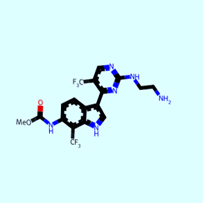 COC(=O)Nc1ccc2c(-c3nc(NCCN)ncc3C(F)(F)F)c[nH]c2c1C(F)(F)F